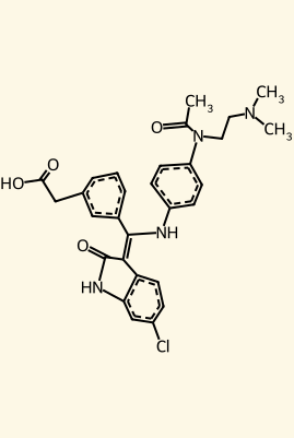 CC(=O)N(CCN(C)C)c1ccc(NC(=C2C(=O)Nc3cc(Cl)ccc32)c2cccc(CC(=O)O)c2)cc1